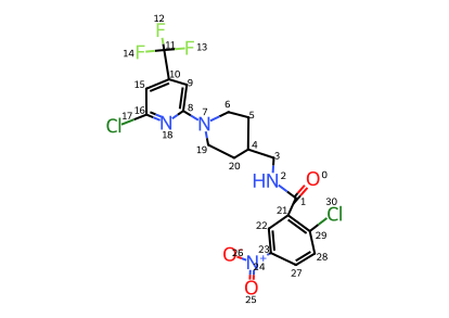 O=C(NCC1CCN(c2cc(C(F)(F)F)cc(Cl)n2)CC1)c1cc([N+](=O)[O-])ccc1Cl